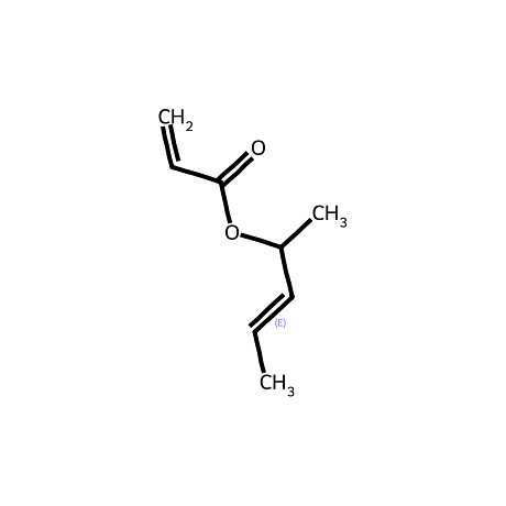 C=CC(=O)OC(C)/C=C/C